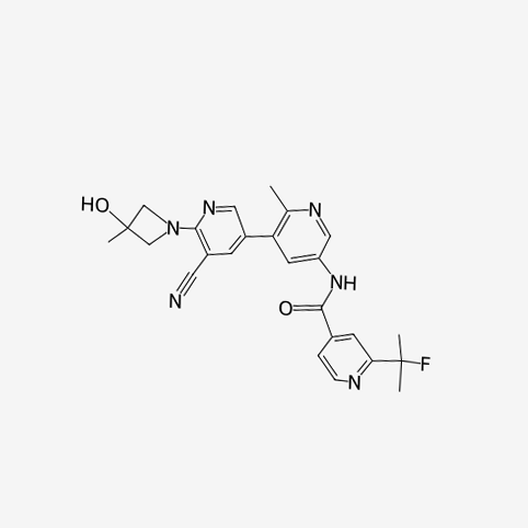 Cc1ncc(NC(=O)c2ccnc(C(C)(C)F)c2)cc1-c1cnc(N2CC(C)(O)C2)c(C#N)c1